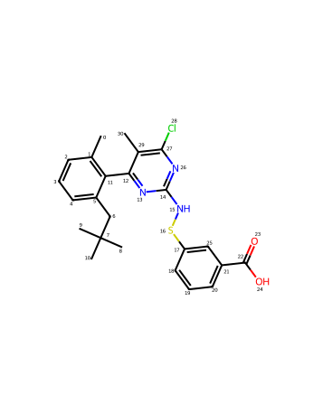 Cc1cccc(CC(C)(C)C)c1-c1nc(NSc2cccc(C(=O)O)c2)nc(Cl)c1C